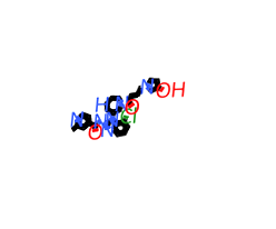 Cc1cc(C(=O)Nc2nc3cccc(Cl)c3n2C2CCCCN(C(=O)/C=C/CN3CCC(O)C3)C2)ccn1